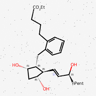 CCCCC[C@H](O)/C=C/[C@@H]1[C@@H](Cc2ccccc2CCCC(=O)OCC)[C@@H](O)C[C@H]1O